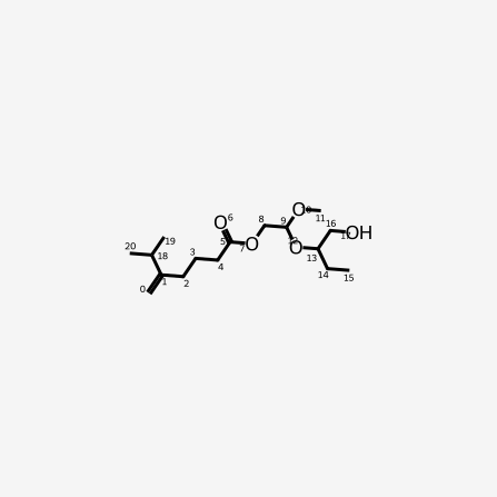 C=C(CCCC(=O)OCC(OC)OC(CC)CO)C(C)C